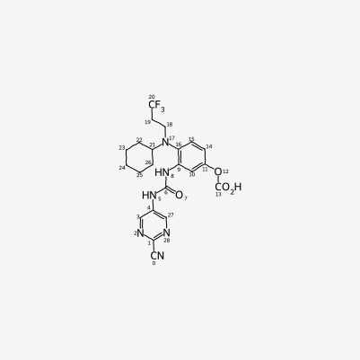 N#Cc1ncc(NC(=O)Nc2cc(OC(=O)O)ccc2N(CCC(F)(F)F)C2CCCCC2)cn1